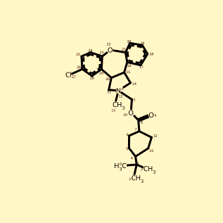 CC(C)(C)C1CCC(C(=O)OC[N+]2(C)CC3c4ccccc4Oc4ccc(Cl)cc4C3C2)CC1